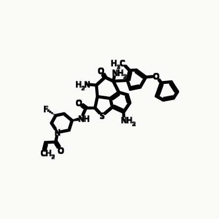 C=CC(=O)N1C[C@H](F)C[C@@H](NC(=O)C2Sc3c(N)ccc4c3C2C(N)C(=O)C4(N)c2ccc(Oc3ccccc3)cc2C)C1